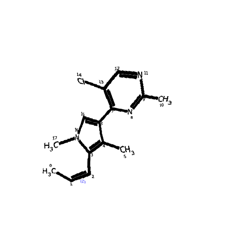 C/C=C\c1c(C)c(-c2nc(C)ncc2Cl)cn1C